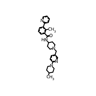 Cc1c(C(=O)NC2CCN(Cc3ccc(N4CCC(C)CC4)nc3)CC2)cccc1-c1ccccn1